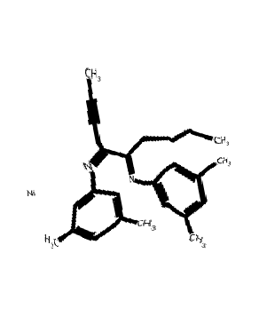 CC#CC(=Nc1cc(C)cc(C)c1)C(CCCC)=Nc1cc(C)cc(C)c1.[Ni]